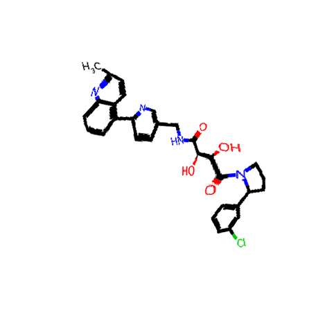 Cc1ccc2c(-c3ccc(CNC(=O)[C@H](O)[C@@H](O)C(=O)N4CCCC4c4cccc(Cl)c4)cn3)cccc2n1